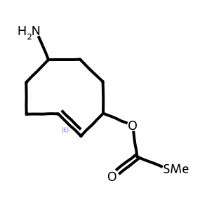 CSC(=O)OC1/C=C/CCC(N)CC1